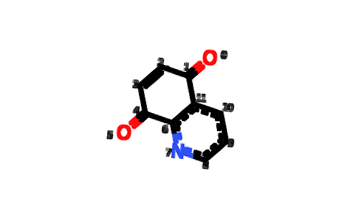 O=C1[C]=CC(=O)c2ncccc21